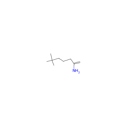 C=C(N)CCCC(C)(C)C